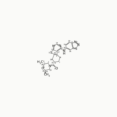 C[C@@H]1CN(C(=O)[C@H]2CCc3c(sc4ncnc(Nc5ccc6nnsc6c5)c34)C2)C[C@@H](C)O1